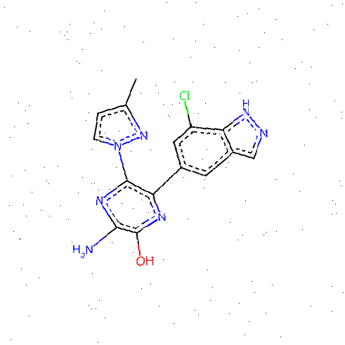 Cc1ccn(-c2nc(N)c(O)nc2-c2cc(Cl)c3[nH]ncc3c2)n1